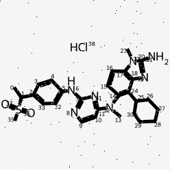 CC(c1ccc(Nc2nccc(N(C)c3ccc4c(nc(N)n4C)c3C3CCCCC3)n2)cc1)S(C)(=O)=O.Cl